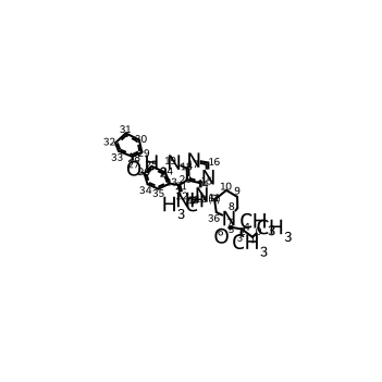 CCC(C)(C)C(=O)N1CCC[C@@H](N(C)c2ncnc(N)c2C(=N)c2ccc(Oc3ccccc3)cc2)C1